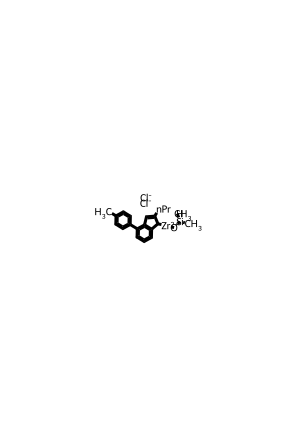 CCCC1=Cc2c(-c3ccc(C)cc3)cccc2[CH]1[Zr+2][O][SiH](C)C.[Cl-].[Cl-]